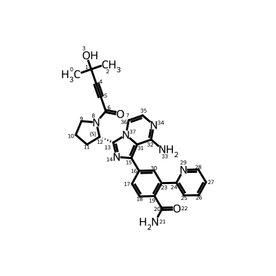 CC(C)(O)C#CC(=O)N1CCC[C@H]1c1nc(-c2ccc(C(N)=O)c(-c3ccccn3)c2)c2c(N)nccn12